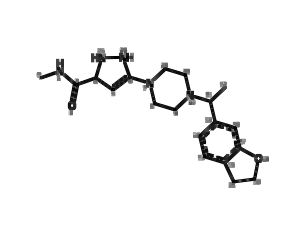 CNC(=O)C1C=C(N2CCN(C(C)c3ccc4c(c3)OCC4)CC2)NN1